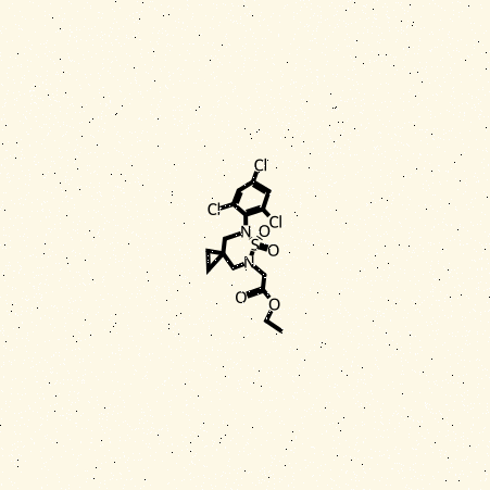 CCOC(=O)CN1CC2(CC2)CN(c2c(Cl)cc(Cl)cc2Cl)S1(=O)=O